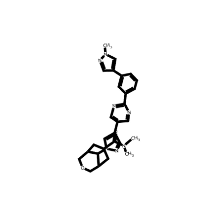 CN(C)C(=O)C1CC2COCC(C1)C2n1cc(-c2cnc(-c3cccc(-c4cnn(C)c4)c3)nc2)cn1